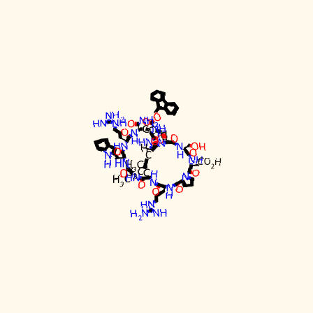 C[C@@H]1NC(=O)C2CC(C)(C)CC[C@H](NC(=O)CNC(=O)OCC3c4ccccc4-c4ccccc43)C(=O)N[C@@H](CCCC[C@@H](C(N)=O)NC(=O)[C@H](CCCNC(=N)N)NC(=O)[C@H](Cc3cc4ccccc4[nH]3)NC1=O)C(=O)N[C@@H](CO)C(=O)N[C@@H](CC(=O)O)C(=O)N1CCCC1C(=O)N[C@@H](CCCNC(=N)N)C(=O)N2